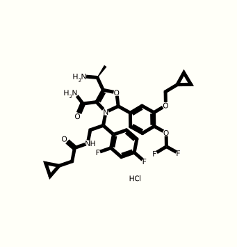 C[C@H](N)C1=C(C(N)=O)N(C(CNC(=O)CC2CC2)c2ccc(F)cc2F)C(c2ccc(OC(F)F)c(OCC3CC3)c2)O1.Cl